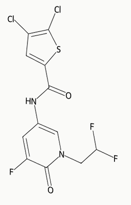 O=C(Nc1cc(F)c(=O)n(CC(F)F)c1)c1cc(Cl)c(Cl)s1